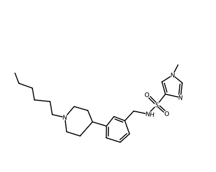 CCCCCCN1CCC(c2cccc(CNS(=O)(=O)c3cn(C)cn3)c2)CC1